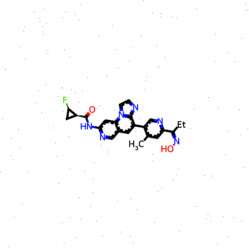 CC/C(=N/O)c1cc(C)c(-c2cc3cnc(NC(=O)[C@H]4C[C@H]4F)cc3n3ccnc23)cn1